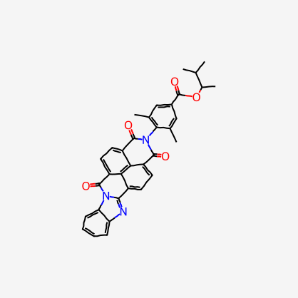 Cc1cc(C(=O)OC(C)C(C)C)cc(C)c1N1C(=O)c2ccc3c(=O)n4c5ccccc5nc4c4ccc(c2c34)C1=O